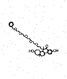 CC1(CCCOCCOCCOCCOCCOCc2ccccc2)C(=O)c2cc(O)ccc2C2CC[C@]3(C)CCC(O)CCC3C21